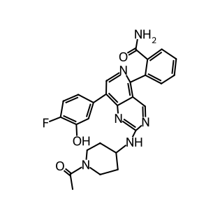 CC(=O)N1CCC(Nc2ncc3c(-c4ccccc4C(N)=O)ncc(-c4ccc(F)c(O)c4)c3n2)CC1